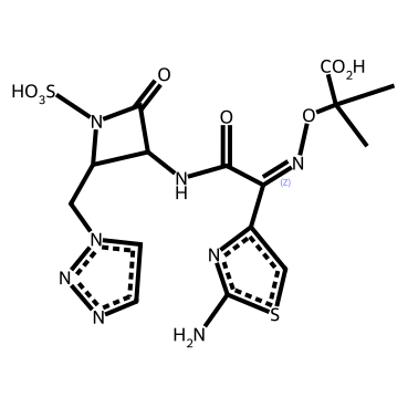 CC(C)(O/N=C(\C(=O)NC1C(=O)N(S(=O)(=O)O)C1Cn1ccnn1)c1csc(N)n1)C(=O)O